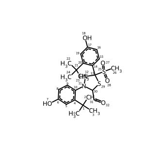 CC(C)(C)c1cc(O)ccc1N1NC(c2ccc(O)cc2C(C)(C)C)(S(C)(=O)=O)SC1C=O